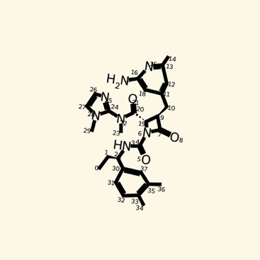 CC[C@@H](NC(=O)N1C(=O)[C@H](Cc2cc(C)nc(N)c2)[C@H]1C(=O)N(C)c1nccn1C)c1ccc(C)c(C)c1